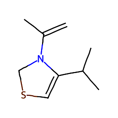 C=C(C)N1CSC=C1C(C)C